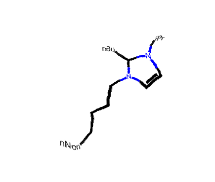 CCCCCCCCCCCCCN1C=CN(C(C)C)C1CCCC